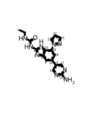 CCNC(=O)Nc1nc2cc(-c3cnc(N)nc3)cc(-n3cccn3)c2[nH]1